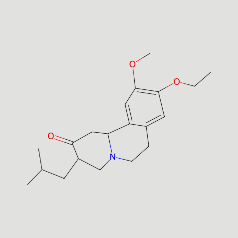 CCOc1cc2c(cc1OC)C1CC(=O)C(CC(C)C)CN1CC2